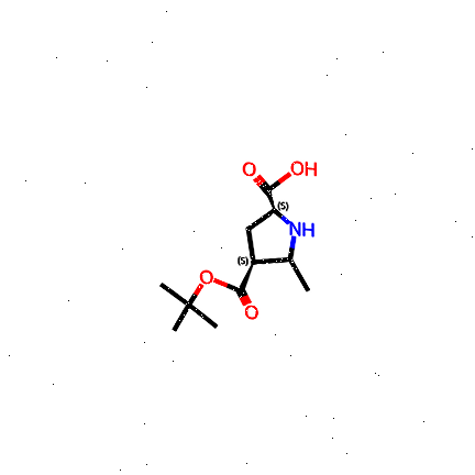 CC1N[C@H](C(=O)O)C[C@@H]1C(=O)OC(C)(C)C